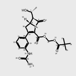 C[C@@H](O)[C@H]1C(=O)N2C(C(=O)OCOC(=O)C(C)(C)C)=C(c3cccc(NC(N)=O)c3)C[C@H]12